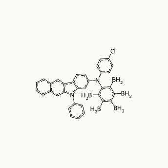 Bc1c(B)c(B)c(N(c2ccc(Cl)cc2)c2ccc3c4cc5ccccc5cc4n(-c4ccccc4)c3c2)c(B)c1B